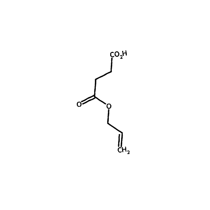 C=CCOC(=O)CCC(=O)O